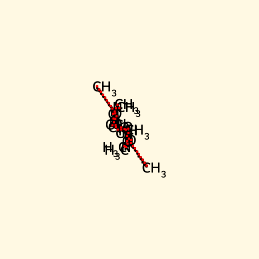 CCCCCCCCCCCCCCCCCCN(CCN(CC)CC)S(=O)(=O)c1ccc(N=NC(C(C)=O)C(=O)Cc2cc(Cl)c(NC(=O)C(N=Nc3ccc(S(=O)(=O)N(CCCCCCCCCCCCCCCCCC)CCN(CC)CC)cc3)C(C)=O)cc2Cl)cc1